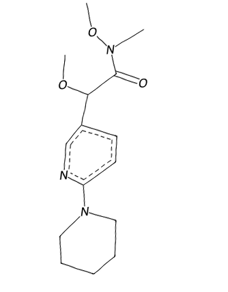 COC(C(=O)N(C)OC)c1ccc(N2CCCCC2)nc1